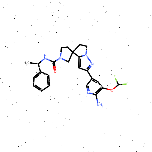 C[C@@H](NC(=O)N1CCC2(CCn3nc(-c4cnc(N)c(OC(F)F)c4)cc32)C1)c1ccccc1